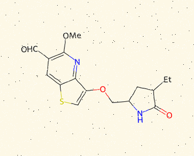 CCC1CC(COc2csc3cc(C=O)c(OC)nc23)NC1=O